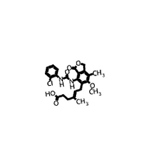 COc1c(C)c2c(c(NC(=O)Nc3ccccc3Cl)c1C/C=C(\C)CCC(=O)O)C(=O)OC2